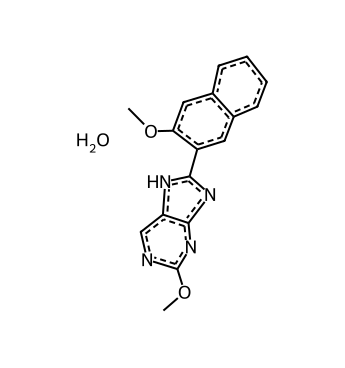 COc1ncc2[nH]c(-c3cc4ccccc4cc3OC)nc2n1.O